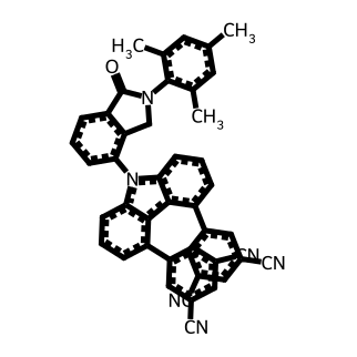 Cc1cc(C)c(N2Cc3c(cccc3-n3c4cccc(-c5cc(C#N)cc(C#N)c5)c4c4c(-c5cc(C#N)cc(C#N)c5)cccc43)C2=O)c(C)c1